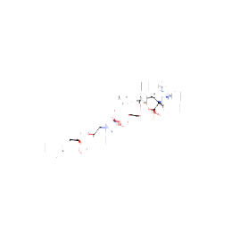 C=CC(=O)OCCNC(=O)OCCOC(=O)C(C)(CNC)N(C)C